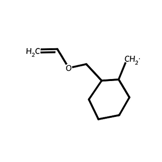 [CH2]C1CCCCC1COC=C